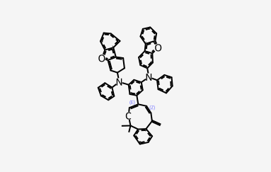 C=C1/C=C\C(c2cc(N(c3ccccc3)c3ccc4c(c3)oc3ccccc34)cc(N(c3ccccc3)C3C=c4oc5ccccc5c4=CC3)c2)=C/CC(C)(C)c2ccccc21